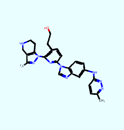 Cc1ccc(Nc2ccc3c(c2)ncn3-c2ccc(CCO)c(-n3nc(C(F)(F)F)c4c3CCNC4)n2)nn1